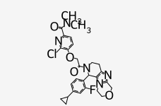 CN(C)C(=O)c1ccc(OCC(=O)N2CCc3nc4n(c3C2c2ccc(C3CC3)cc2F)CCOC4)c(Cl)n1